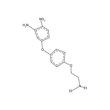 CCN(CC)CCOc1ccc(Oc2ccc([N+](=O)[O-])c(N)c2)cc1